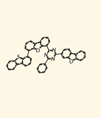 c1ccc(-c2nc(-c3ccc4c(c3)oc3ccccc34)nc(-c3cccc4c3oc3c(-c5cccc6c5sc5ccccc56)cccc34)n2)cc1